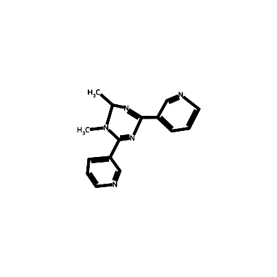 CC1N=C(c2cccnc2)N=C(c2cccnc2)N1C